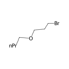 CCCCOCCCBr